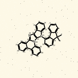 CC1(C)c2ccccc2-c2c(-n3c4ccccc4c4nc5c6ccccc6c6ccccc6n5c43)cccc21